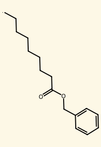 [CH2]CCCCCCCC(=O)OCc1ccccc1